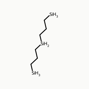 [SiH3]CCC[SiH2]CCC[SiH3]